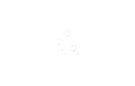 CCOC(=O)Nc1ccc(NCc2ccc(F)cc2)nc1N.O=C(O)[C@H](O)[C@@H](O)[C@H](O)[C@H](O)CO